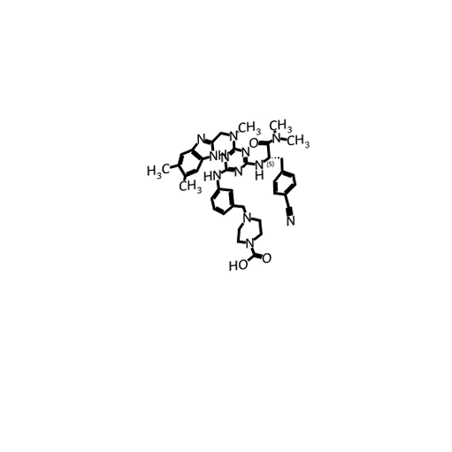 Cc1cc2nc(CN(C)c3nc(Nc4cccc(CN5CCN(C(=O)O)CC5)c4)nc(N[C@@H](Cc4ccc(C#N)cc4)C(=O)N(C)C)n3)[nH]c2cc1C